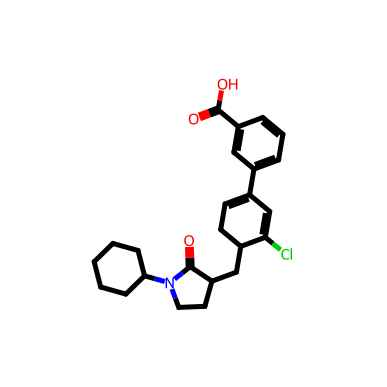 O=C(O)c1cccc(C2=CCC(CC3CCN(C4CCCCC4)C3=O)C(Cl)=C2)c1